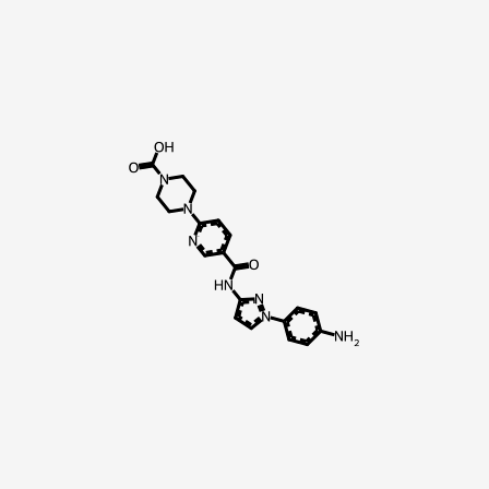 Nc1ccc(-n2ccc(NC(=O)c3ccc(N4CCN(C(=O)O)CC4)nc3)n2)cc1